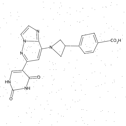 O=C(O)c1ccc(C2CN(c3cc(-c4c[nH]c(=O)[nH]c4=O)nn4ccnc34)C2)cc1